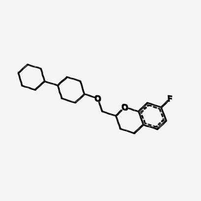 Fc1ccc2c(c1)OC(COC1CCC(C3CCCCC3)CC1)CC2